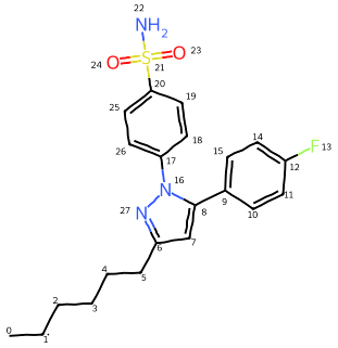 C[CH]CCCCc1cc(-c2ccc(F)cc2)n(-c2ccc(S(N)(=O)=O)cc2)n1